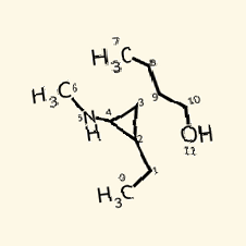 CCC1CC1NC.CCCCO